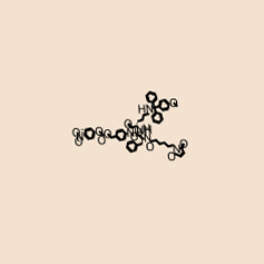 COc1ccc(C(NCCCC[C@H](NC(=O)[C@H](Cc2ccccc2)NC(=O)CCCCCN2C(=O)C=CC2=O)C(=O)Nc2ccc(COC(=O)Oc3ccc([N+](=O)[O-])cc3)cc2)(c2ccccc2)c2ccccc2)cc1